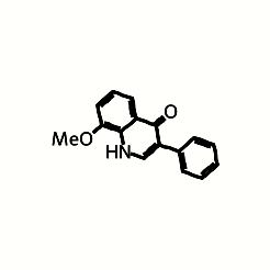 COc1cccc2c(=O)c(-c3ccccc3)c[nH]c12